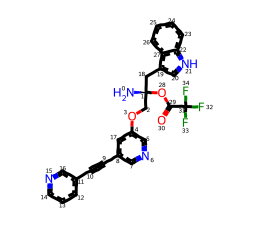 N[C@@](COc1cncc(C#Cc2cccnc2)c1)(Cc1c[nH]c2ccccc12)OC(=O)C(F)(F)F